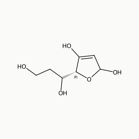 OCCC(O)[C@H]1OC(O)C=C1O